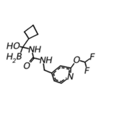 BC(O)(NC(=O)NCc1ccnc(OC(F)F)c1)C1CCC1